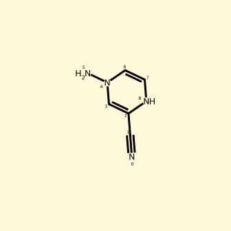 N#CC1=CN(N)C=CN1